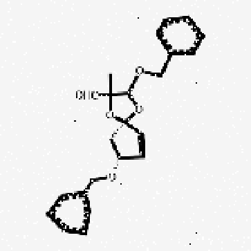 CC1(C=O)O[C@]2(C=C[C@H](OCc3ccccc3)C2)OC1OCc1ccccc1